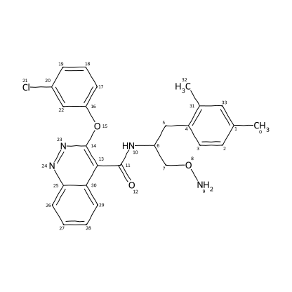 Cc1ccc(CC(CON)NC(=O)c2c(Oc3cccc(Cl)c3)nnc3ccccc23)c(C)c1